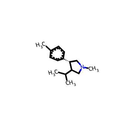 Cc1ccc([C@@H]2CN(C)CC2C(C)C)cc1